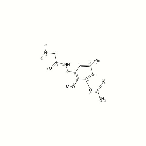 COc1c(CNC(=O)CN(C)C)cc(C(C)(C)C)cc1OC(N)=O